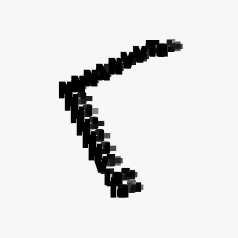 [N-3].[N-3].[N-3].[N-3].[N-3].[N-3].[N-3].[N-3].[N-3].[N-3].[Ta+5].[Ta+5].[Ta+5].[V+5].[V+5].[V+5]